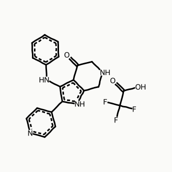 O=C(O)C(F)(F)F.O=C1CNCc2[nH]c(-c3ccncc3)c(Nc3ccccc3)c21